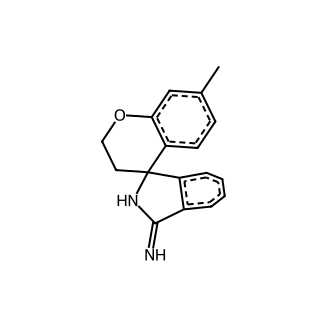 Cc1ccc2c(c1)OCCC21NC(=N)c2ccccc21